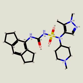 Cc1c(N(C2CCN(C)CC2)S(=O)(=O)NC(=O)Nc2c3c(cc4c2CCC4)CCC3)cnn1C